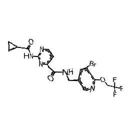 O=C(NCc1cnc(OCC(F)(F)F)c(Br)c1)c1ccnc(NC(=O)C2CC2)n1